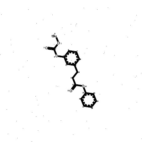 CC(C)(C)OC(=O)Oc1cccc(CCC(=O)Oc2ccccc2)c1